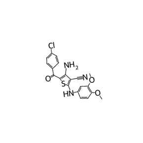 COc1ccc(Nc2sc(C(=O)c3ccc(Cl)cc3)c(N)c2C#N)cc1OC